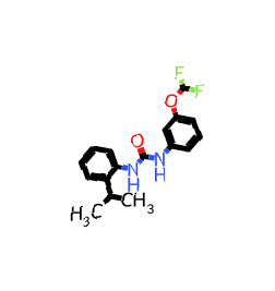 CC(C)c1ccccc1NC(=O)Nc1cccc(OC(F)F)c1